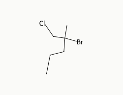 CCCC(C)(Br)CCl